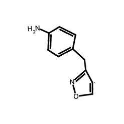 Nc1ccc(Cc2[c]con2)cc1